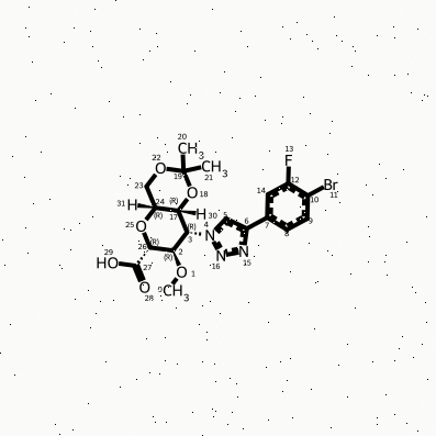 CO[C@@H]1[C@@H](n2cc(-c3ccc(Br)c(F)c3)nn2)[C@H]2OC(C)(C)OC[C@H]2O[C@H]1C(=O)O